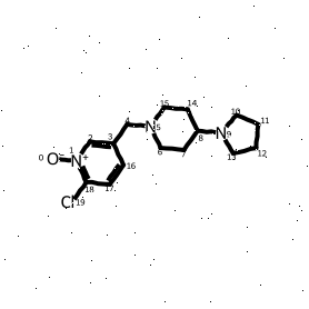 [O-][n+]1cc(CN2CCC(N3CCCC3)CC2)ccc1Cl